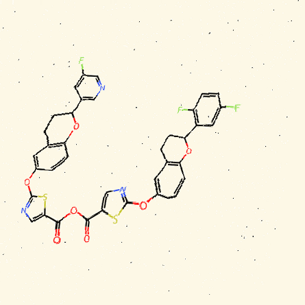 O=C(OC(=O)c1cnc(Oc2ccc3c(c2)CCC(c2cc(F)ccc2F)O3)s1)c1cnc(Oc2ccc3c(c2)CCC(c2cncc(F)c2)O3)s1